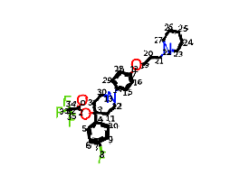 O=C(OC1(c2ccc(F)cc2)CCN(c2ccc(OCCCN3CCCCC3)cc2)CC1)C(F)(F)F